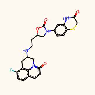 O=C1CSc2ccc(N3CC(CCNC4Cc5c(F)ccc6ccc(=O)n(c56)C4)OC3=O)cc2N1